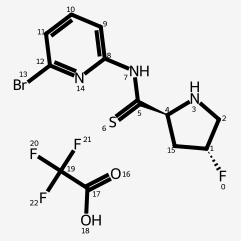 F[C@H]1CN[C@H](C(=S)Nc2cccc(Br)n2)C1.O=C(O)C(F)(F)F